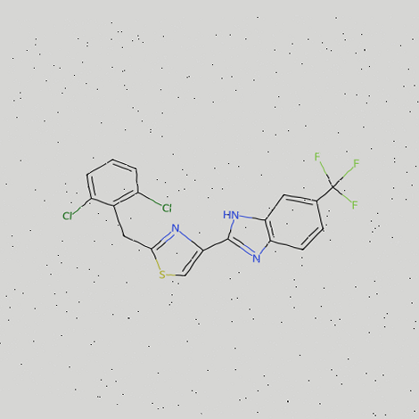 FC(F)(F)c1ccc2nc(-c3csc(Cc4c(Cl)cccc4Cl)n3)[nH]c2c1